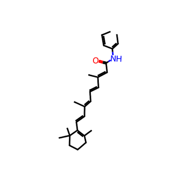 C/C=C\C(=C/C)NC(=O)/C=C(C)/C=C/C=C(C)/C=C/C1=C(C)CCCC1(C)C